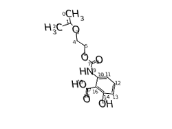 CC(C)OCCOC(=O)Nc1cccc(O)c1C(=O)O